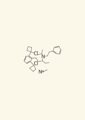 CC#N.CCC(CCc1c(C2(Cl)CCC2)cccc1C1(Cl)CCC1)N(CCc1ccccc1)C(C)C